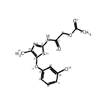 CC(=O)OCC(=O)Nc1nc(C)c(Oc2cccc(Cl)c2)s1